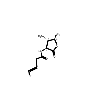 CC/C=C/CC(=O)N[C@@H]1C(=O)O[C@H](C)[C@H]1C